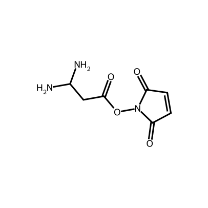 NC(N)CC(=O)ON1C(=O)C=CC1=O